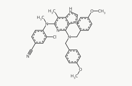 COc1ccc(CN(Cc2ccc(OC)cc2)c2nc(N(C)c3ccc(C#N)cc3Cl)c(C)c3[nH]cnc23)cc1